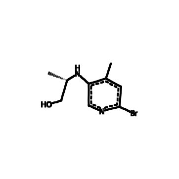 Cc1cc(Br)ncc1N[C@@H](C)CO